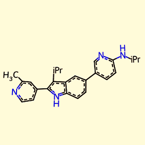 Cc1cc(-c2[nH]c3ccc(-c4ccc(NC(C)C)nc4)cc3c2C(C)C)ccn1